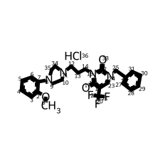 COc1ccccc1N1CCN(CCCn2c(=O)c(C(F)(F)F)cn(Cc3ccccc3)c2=O)CC1.Cl